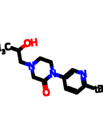 CC(O)CN1CCN(c2ccc(C(C)(C)C)nc2)C(=O)C1